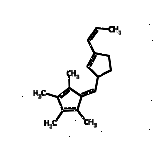 C/C=C\C1=CC(C=C2C(C)=C(C)C(C)=C2C)CC1